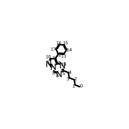 CCCCCc1n[c]n2ncc(-c3ccccc3)c2n1